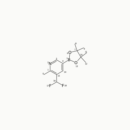 Cc1ncc(B2OC(C)(C)C(C)(C)O2)cc1C(F)F